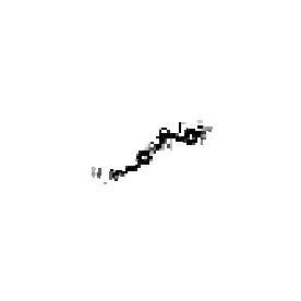 NCCCCc1ccc(OCc2coc(C=Cc3ccc(C(F)(F)F)cc3F)n2)cc1